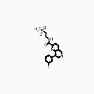 CS(=O)(=O)CCNC(=O)c1ccc2cncc(-c3cccc(F)c3)c2n1